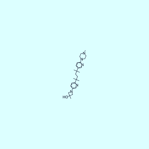 CN1CCN(c2ccc(C(C)(C)CCC(C)(C)c3ccc(N4CC(C)(O)C4)cn3)cn2)CC1